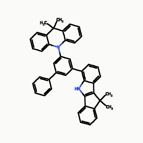 CC1(C)c2ccccc2N(c2cc(-c3ccccc3)cc(-c3cccc4c5c([nH]c34)-c3ccccc3C5(C)C)c2)c2ccccc21